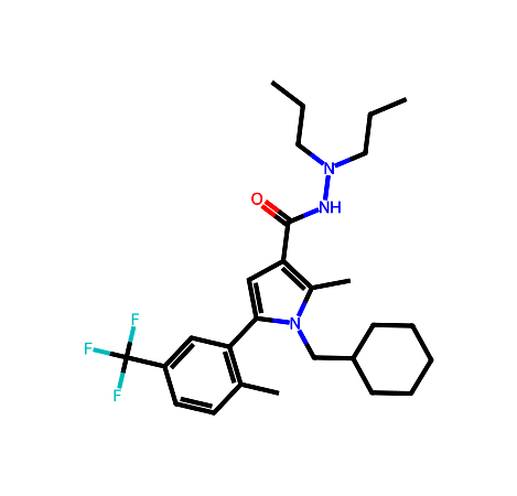 CCCN(CCC)NC(=O)c1cc(-c2cc(C(F)(F)F)ccc2C)n(CC2CCCCC2)c1C